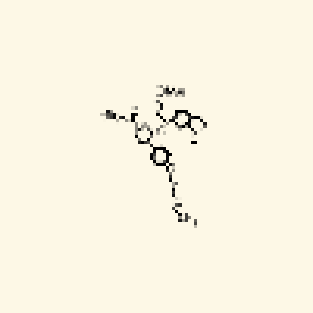 COCCCC(O[C@H]1CN(C(=O)OC(C)(C)C)CC[C@@H]1c1ccc(OCCCOCC(F)(F)F)cc1)c1ccc2c(c1)NCCC2